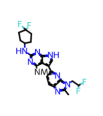 CNc1nc(NC2CCC(F)(F)CC2)nc2[nH]cc(-c3ccc4nc(C)n(CC(F)F)c4n3)c12